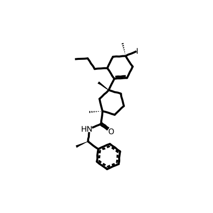 CCCC1C[C@@](C)(I)CC=C1[C@]1(C)CCC[C@@](C)(C(=O)N[C@H](C)c2ccccc2)C1